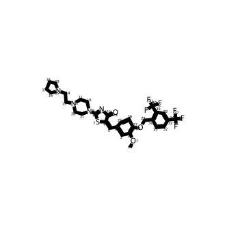 COc1cc(C=C2SC(N3CCN(CCN4CCCC4)CC3)=NC2=O)ccc1OCc1ccc(C(F)(F)F)cc1C(F)(F)F